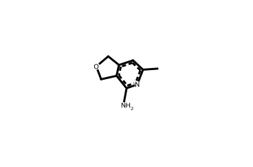 Cc1cc2c(c(N)n1)COC2